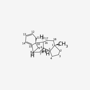 C[C@@]12CCC[C@H]1[C@@H]1C[C@H]3C[C@@]4(CC=CC=C34)[C@H]1CC2